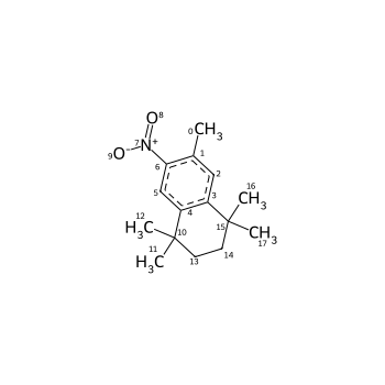 Cc1cc2c(cc1[N+](=O)[O-])C(C)(C)CCC2(C)C